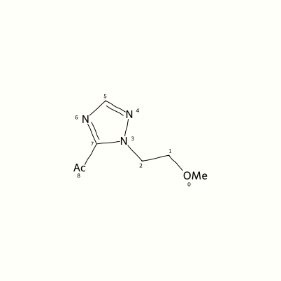 COCCn1ncnc1C(C)=O